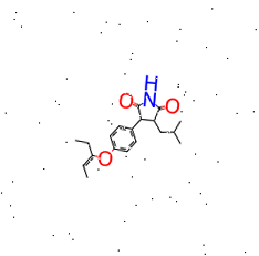 C/C=C(/CC)Oc1ccc(C2C(=O)NC(=O)C2CC(C)C)cc1